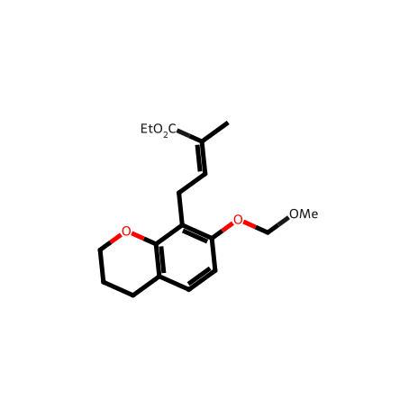 CCOC(=O)/C(C)=C\Cc1c(OCOC)ccc2c1OCCC2